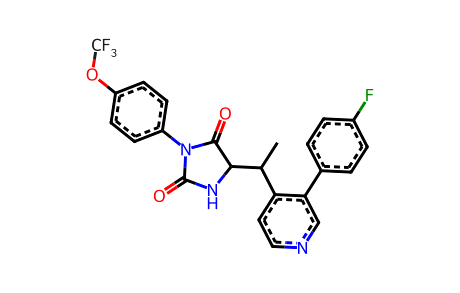 CC(c1ccncc1-c1ccc(F)cc1)C1NC(=O)N(c2ccc(OC(F)(F)F)cc2)C1=O